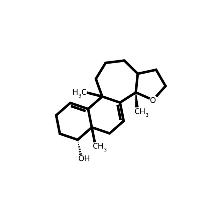 CC12CCCC3CCO[C@]3(C)C1=CCC1(C)C2=CCC[C@H]1O